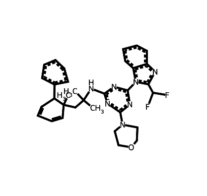 CC(C)(CC1(C)C=CC=CC1c1ccccc1)Nc1nc(N2CCOCC2)nc(-n2c(C(F)F)nc3ccccc32)n1